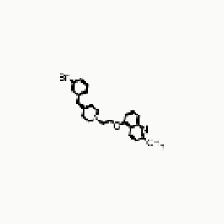 Cc1ccc2c(OCCN3CCC(=Cc4cccc(Br)c4)CC3)cccc2n1